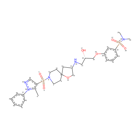 Cc1c(S(=O)(=O)N2CCC3(CC2)CC(NC[C@H](O)COc2cccc(S(=O)(=O)N(C)C)c2)CO3)cnn1-c1ccccc1